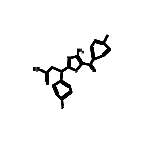 Cc1ccc(C(=O)c2sc(N(CC(N)=O)c3ccc(F)cc3)nc2N)cc1